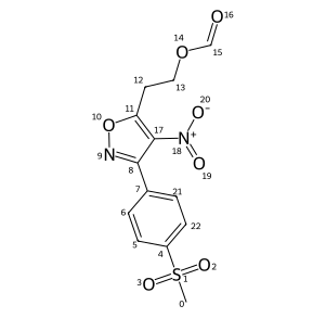 CS(=O)(=O)c1ccc(-c2noc(CCOC=O)c2[N+](=O)[O-])cc1